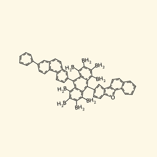 Bc1c(B)c(B)c2c(-c3ccc4oc5c6ccccc6ccc5c4c3)c3c(B)c(B)c(B)c(B)c3c(-c3ccc4c(ccc5cc(-c6ccccc6)ccc54)c3)c2c1B